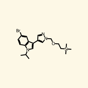 CC(C)n1cc(-c2cnn(COCC[Si](C)(C)C)c2)c2cc(Br)ccc21